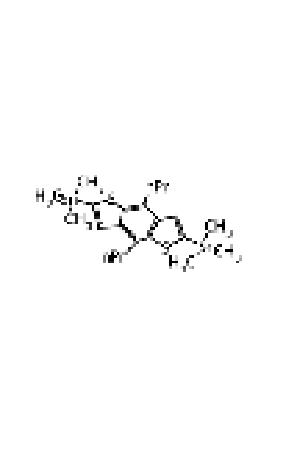 CCCc1c2c[c]([Sn]([CH3])([CH3])[CH3])sc2c(CCC)c2c[c]([Sn]([CH3])([CH3])[CH3])sc12